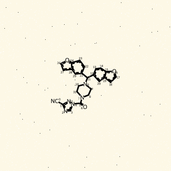 N#Cc1ncn(C(=O)N2CCN(C(c3ccc4occc4c3)c3ccc4occc4c3)CC2)n1